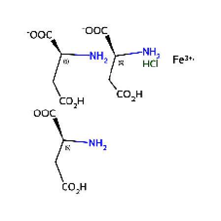 Cl.N[C@@H](CC(=O)O)C(=O)[O-].N[C@@H](CC(=O)O)C(=O)[O-].N[C@@H](CC(=O)O)C(=O)[O-].[Fe+3]